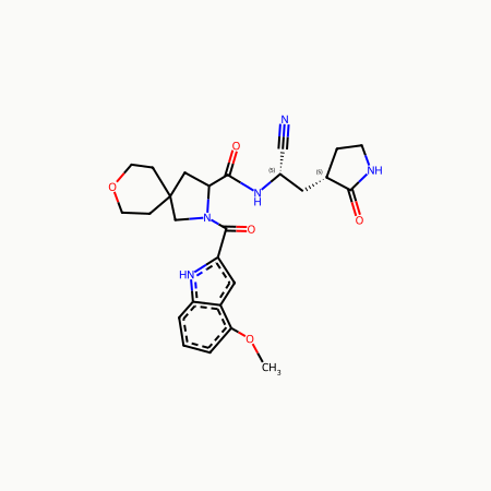 COc1cccc2[nH]c(C(=O)N3CC4(CCOCC4)CC3C(=O)N[C@H](C#N)C[C@@H]3CCNC3=O)cc12